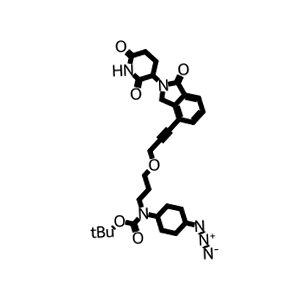 CC(C)(C)OC(=O)N(CCCOCC#Cc1cccc2c1CN(C1CCC(=O)NC1=O)C2=O)C1CCC(N=[N+]=[N-])CC1